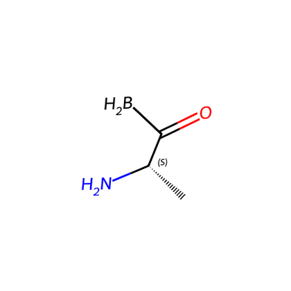 BC(=O)[C@H](C)N